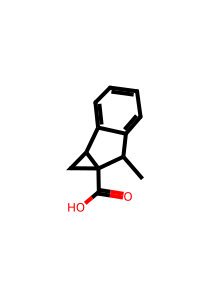 CC1c2ccccc2C2CC12C(=O)O